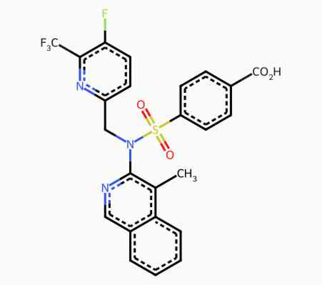 Cc1c(N(Cc2ccc(F)c(C(F)(F)F)n2)S(=O)(=O)c2ccc(C(=O)O)cc2)ncc2ccccc12